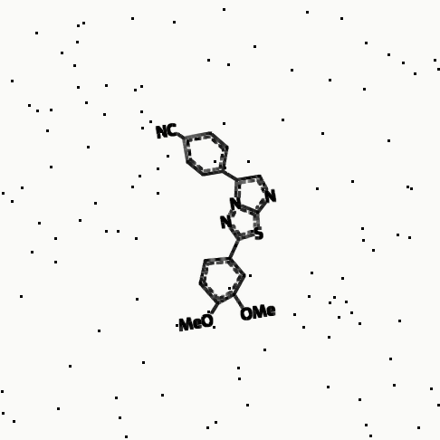 COc1ccc(-c2nn3c(-c4ccc(C#N)cc4)cnc3s2)cc1OC